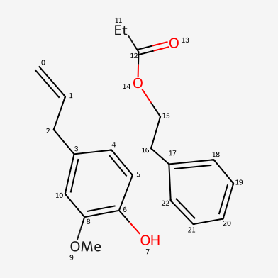 C=CCc1ccc(O)c(OC)c1.CCC(=O)OCCc1ccccc1